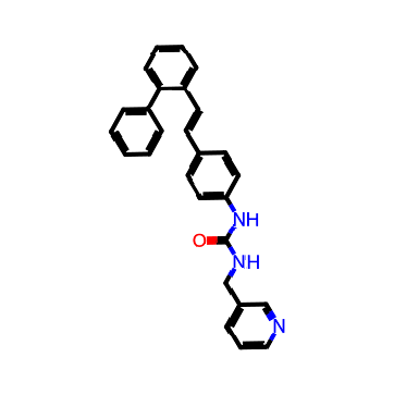 O=C(NCc1cccnc1)Nc1ccc(C=Cc2ccccc2-c2ccccc2)cc1